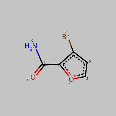 NC(=O)c1occc1Br